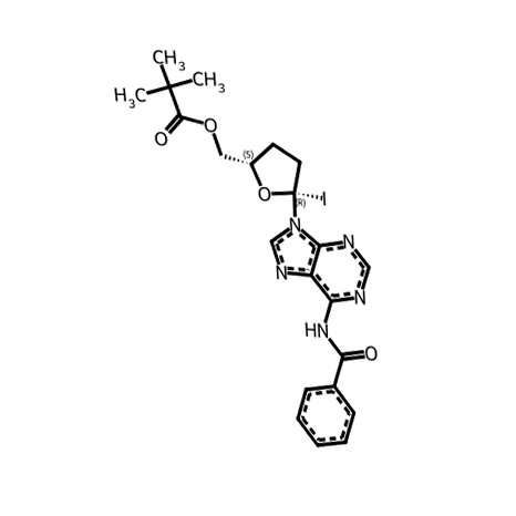 CC(C)(C)C(=O)OC[C@@H]1CC[C@@](I)(n2cnc3c(NC(=O)c4ccccc4)ncnc32)O1